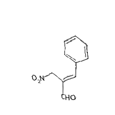 O=CC(=Cc1ccccc1)C[N+](=O)[O-]